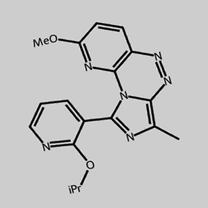 COc1ccc2nnc3c(C)nc(-c4cccnc4OC(C)C)n3c2n1